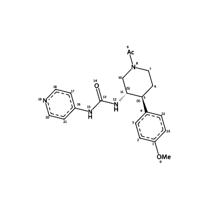 COc1ccc([C@@H]2CCN(C(C)=O)C[C@H]2NC(=O)Nc2ccncc2)cc1